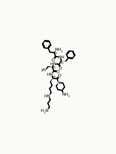 CC(C)C[C@@H](NC(=O)[C@@H](Cc1ccccc1)NC(=O)[C@H](N)Cc1ccccc1)C(=O)N[C@H](CCCCNCCCN)C(=O)N1CCC(N)CC1